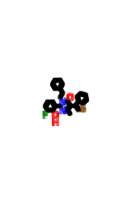 Cc1nc(-c2cccc(F)c2O)n(CCc2ccccc2)c(=O)c1-c1csc2ccccc12